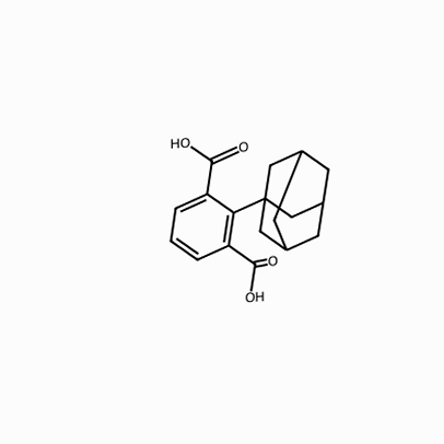 O=C(O)c1cccc(C(=O)O)c1C12CC3CC(CC(C3)C1)C2